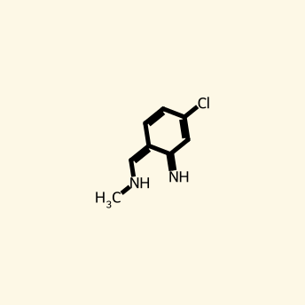 CN/C=C1/C=CC(Cl)=CC1=N